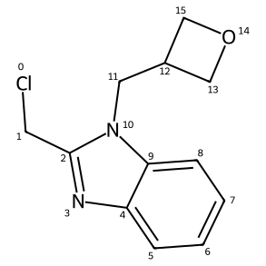 ClCc1nc2ccccc2n1CC1COC1